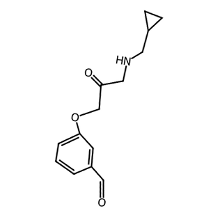 O=Cc1cccc(OCC(=O)CNCC2CC2)c1